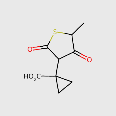 CC1SC(=O)C(C2(C(=O)O)CC2)C1=O